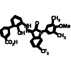 COc1c(C)cc(N2C(=O)/C(=N\Nc3cccc(-c4cccc(C(=O)O)c4)c3O)c3ccc(C(F)(F)F)cc32)cc1C